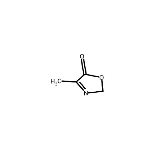 CC1=NCOC1=O